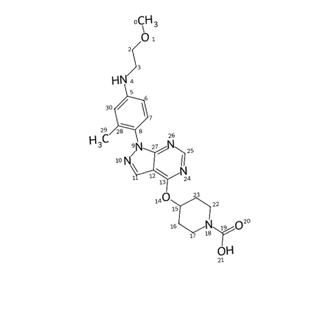 COCCNc1ccc(-n2ncc3c(OC4CCN(C(=O)O)CC4)ncnc32)c(C)c1